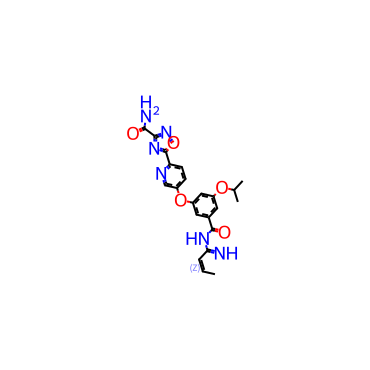 C/C=C\C(=N)NC(=O)c1cc(Oc2ccc(-c3nc(C(N)=O)no3)nc2)cc(OC(C)C)c1